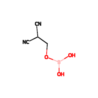 N#CC(C#N)COB(O)O